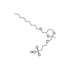 CCCCCCCCCOCC1CCOC(C)(COCCCS(=O)(=O)O)O1